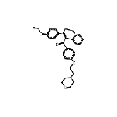 CCOc1ccc(C2=C(C(=O)c3ccc(OCCN4CCOCC4)cc3)c3ccccc3CC2)cc1